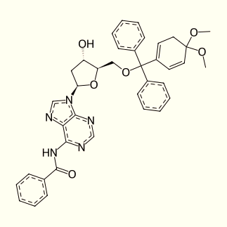 COC1(OC)C=CC(C(OC[C@H]2O[C@@H](n3cnc4c(NC(=O)c5ccccc5)ncnc43)C[C@@H]2O)(c2ccccc2)c2ccccc2)=CC1